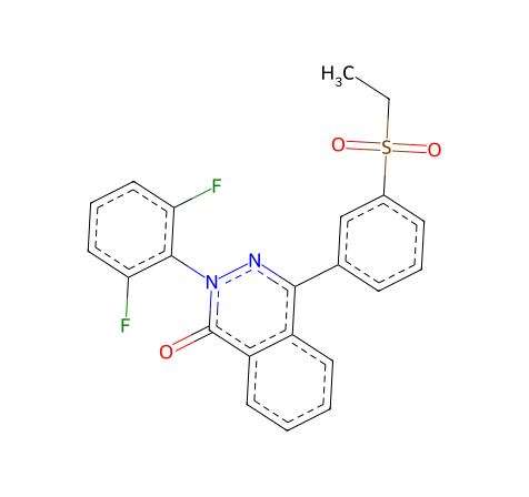 CCS(=O)(=O)c1cccc(-c2nn(-c3c(F)cccc3F)c(=O)c3ccccc23)c1